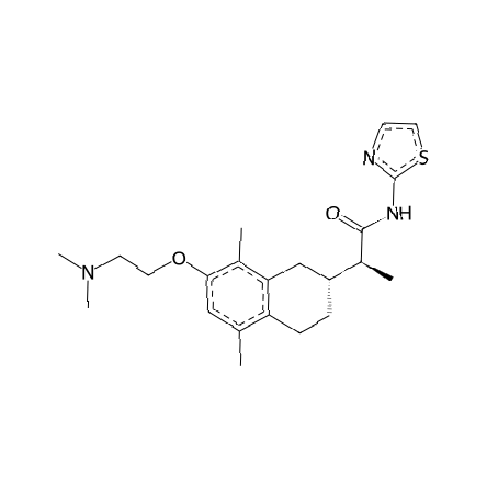 Cc1cc(OCCN(C)C)c(C)c2c1CC[C@@H]([C@H](C)C(=O)Nc1nccs1)C2